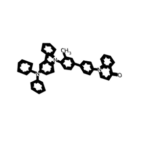 Cc1cc(-c2ccc(-n3ccc(=O)c4ccccc43)cc2)ccc1-n1c2ccccc2c2cc(N(c3ccccc3)c3ccccc3)ccc21